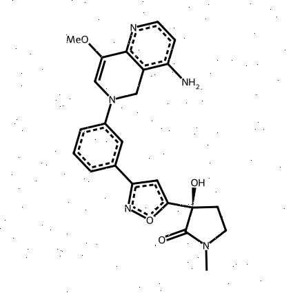 COC1=CN(c2cccc(-c3cc([C@]4(O)CCN(C)C4=O)on3)c2)Cc2c(N)ccnc21